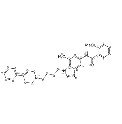 COc1ccccc1C(=O)Nc1cc(C)c2c(c1)ncn2CCCCN1CC=C(c2ccccc2)CC1